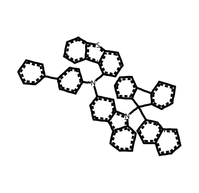 c1ccc(-c2ccc(N(c3ccc4c5ccccc5n(C5(c6ccc7ccccc7c6)c6ccccc6-c6ccccc65)c4c3)c3cccc4sc5ccccc5c34)cc2)cc1